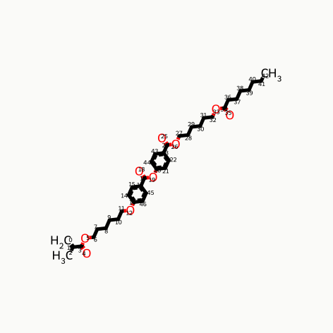 C=C(C)C(=O)OCCCCCCOc1ccc(C(=O)Oc2ccc(C(=O)OCCCCCCOC(=O)CCCCCCC)cc2)cc1